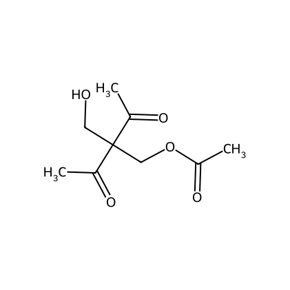 CC(=O)OCC(CO)(C(C)=O)C(C)=O